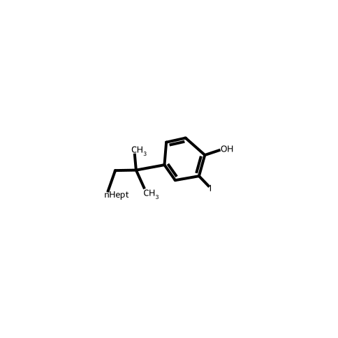 CCCCCCCCC(C)(C)c1ccc(O)c(I)c1